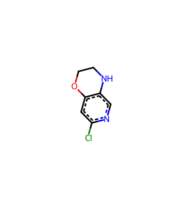 Clc1cc2c(cn1)NCCO2